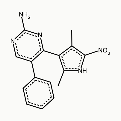 Cc1[nH]c([N+](=O)[O-])c(C)c1-c1nc(N)ncc1-c1ccccc1